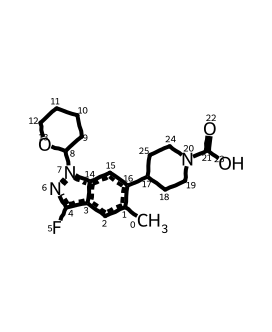 Cc1cc2c(F)nn(C3CCCCO3)c2cc1C1CCN(C(=O)O)CC1